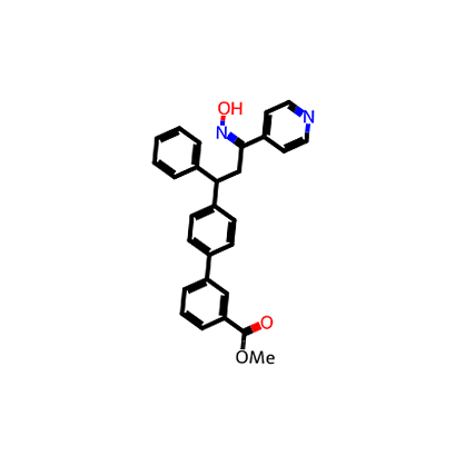 COC(=O)c1cccc(-c2ccc(C(CC(=NO)c3ccncc3)c3ccccc3)cc2)c1